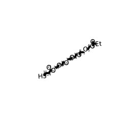 CCC(=O)OCCOCCOCCOCCOCCOCCOC(=O)CCS